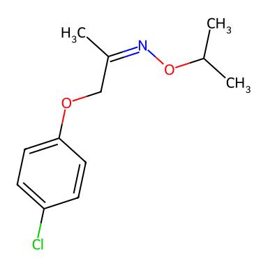 C/C(COc1ccc(Cl)cc1)=N/OC(C)C